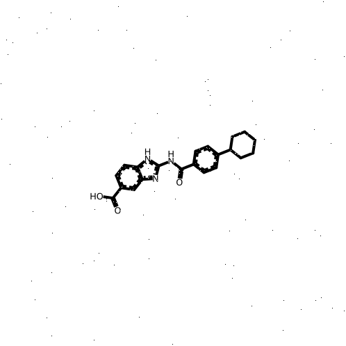 O=C(O)c1ccc2[nH]c(NC(=O)c3ccc(C4CCCCC4)cc3)nc2c1